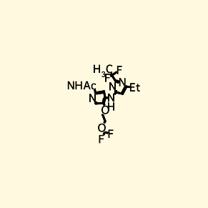 CCc1cc(Nc2cc(NC(C)=O)ncc2OCCOC(F)F)nc(C(C)(F)F)n1